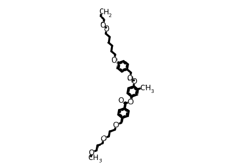 C=CCOOCCCCCCOc1ccc(COOc2ccc(OC(=O)c3ccc(COCCCOCCCOC)cc3)cc2C)cc1